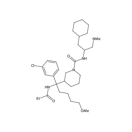 CCC(=O)NC(CCCCOC)(c1cccc(Cl)c1)C1CCCN(C(=O)NC(CNC)CC2CCCCC2)C1